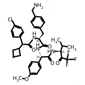 COc1ccc([C@H](NC(=O)[C@H](Cc2ccc(CN)cc2)NC(=O)C(c2ccc(Cl)cc2)C2CCC2)C(=O)N[C@H](C(=O)C(F)(F)F)C(C)C)cc1